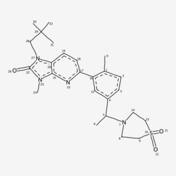 Cc1ccc(C(C)N2CCS(=O)(=O)CC2)cc1-c1ccc2c(n1)n(C)c(=O)n2CC(C)(C)C